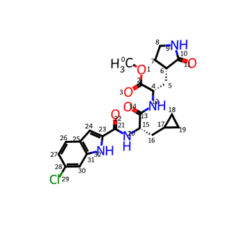 COC(=O)[C@H](C[C@@H]1CCNC1=O)NC(=O)[C@H](CC1CC1)NC(=O)c1cc2ccc(Cl)cc2[nH]1